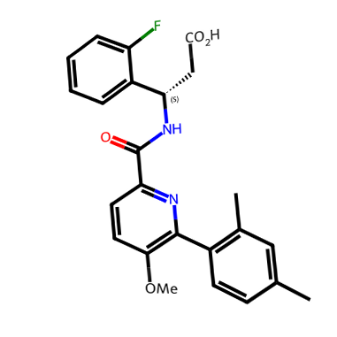 COc1ccc(C(=O)N[C@@H](CC(=O)O)c2ccccc2F)nc1-c1ccc(C)cc1C